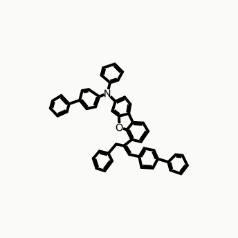 C(=C(\Cc1ccccc1)c1cccc2c1oc1cc(N(c3ccccc3)c3ccc(-c4ccccc4)cc3)ccc12)/c1ccc(-c2ccccc2)cc1